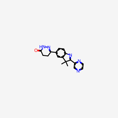 CC1(C)C(c2cnccn2)=Nc2ccc(C3=NNC(=O)CC3)cc21